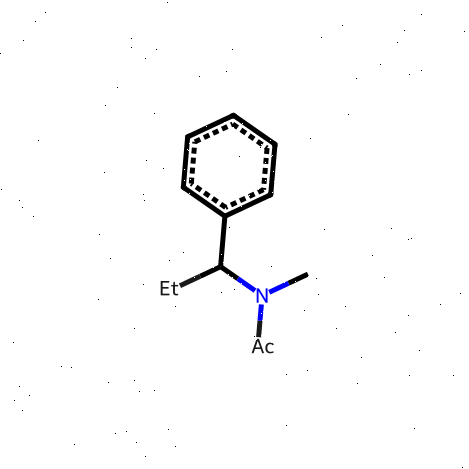 CCC(c1ccccc1)N(C)C(C)=O